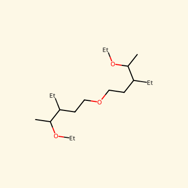 CCOC(C)C(CC)CCOCCC(CC)C(C)OCC